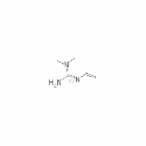 C=C/N=C(/N)N(C)C